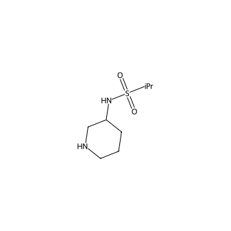 CC(C)S(=O)(=O)NC1CCCNC1